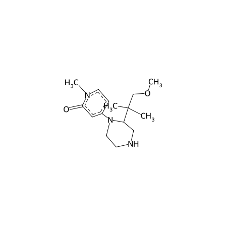 COCC(C)(C)C1CNCCN1c1ccn(C)c(=O)c1